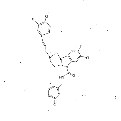 O=C(NCc1ccnc(Cl)c1)n1c2c(c3cc(F)c(Cl)cc31)CN(C/C=C/c1ccc(Cl)c(F)c1)CC2